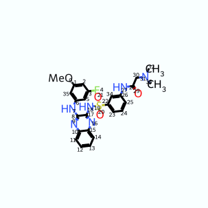 COc1cc(F)cc(Nc2nc3ccccc3nc2NS(=O)(=O)c2cccc(NC(=O)CN(C)C)c2)c1